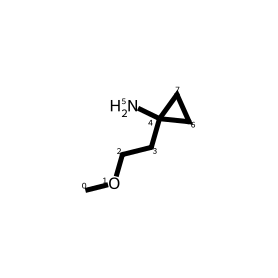 COCCC1(N)CC1